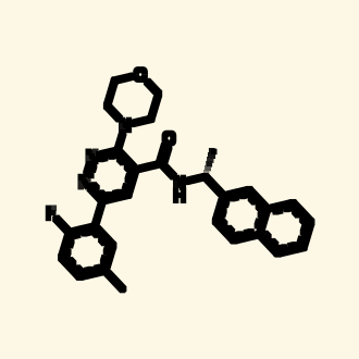 Cc1ccc(F)c(-c2cc(C(=O)N[C@H](C)c3ccc4ccccc4c3)c(N3CCOCC3)nn2)c1